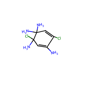 NC1=CC(N)(Cl)C(N)(N)C=C1Cl